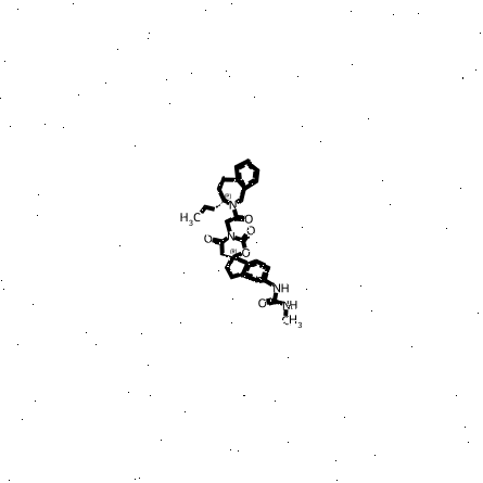 CCC[C@@H]1CCc2ccccc2CN1C(=O)CN1C(=O)C[C@@]2(CCc3cc(NC(=O)NC)ccc32)OC1=O